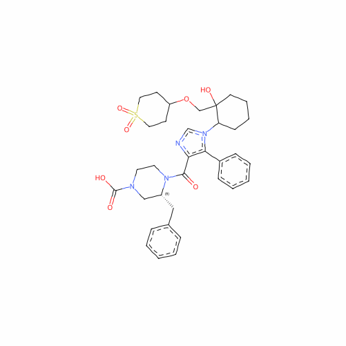 O=C(O)N1CCN(C(=O)c2ncn(C3CCCCC3(O)COC3CCS(=O)(=O)CC3)c2-c2ccccc2)[C@H](Cc2ccccc2)C1